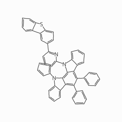 c1ccc(-c2c(-c3ccccc3)c3c4ccccc4n(-c4cccc(-c5ccc6sc7ccccc7c6c5)n4)c3c3c2c2ccccc2n3-c2ccccc2)cc1